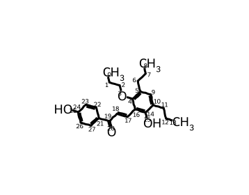 CCCOc1c(CCC)cc(CCC)c(O)c1C=CC(=O)c1ccc(O)cc1